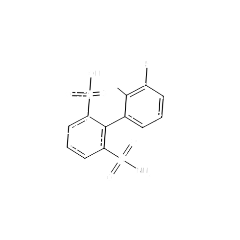 NS(=O)(=O)c1cccc(S(=O)(=O)O)c1-c1cccc(F)c1I